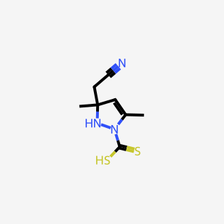 CC1=CC(C)(CC#N)NN1C(=S)S